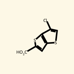 O=C(O)c1cc2scc(Cl)c2s1